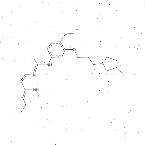 CC/C=C(/C=C\N=C(/C)Nc1ccc(OC)c(OCCCN2CCC(F)C2)c1)NC